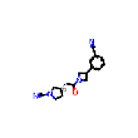 N#Cc1cccc(C2CN(C(=O)C[C@@H]3CCN(C#N)C3)C2)c1